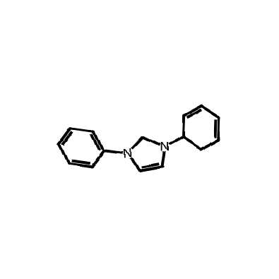 C1=CCC(N2C=CN(c3ccccc3)C2)C=C1